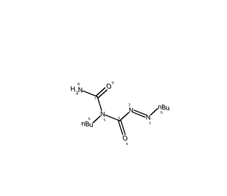 CCCCN=NC(=O)N(CCCC)C(N)=O